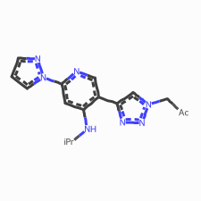 CC(=O)Cn1cc(-c2cnc(-n3cccn3)cc2NC(C)C)nn1